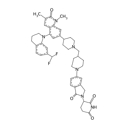 Cc1cc2c(N3CCCc4ccc(C(F)F)cc43)cc(C3CCN(CC4CCN(c5ccc6c(c5)CN(C5CCC(=O)NC5=O)C6=O)CC4)CC3)cc2n(C)c1=O